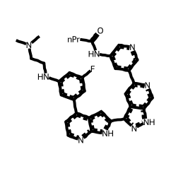 CCCC(=O)Nc1cncc(-c2cc3c(-c4cc5c(-c6cc(F)cc(NCCN(C)C)c6)ccnc5[nH]4)n[nH]c3cn2)c1